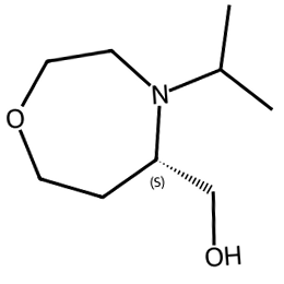 CC(C)N1CCOCC[C@H]1CO